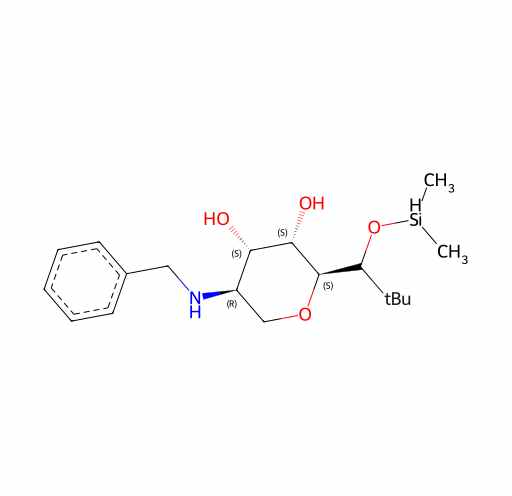 C[SiH](C)OC([C@H]1OC[C@@H](NCc2ccccc2)[C@H](O)[C@@H]1O)C(C)(C)C